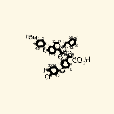 CC(C)(C)c1ccc(Oc2ccc3c(c2)CCN(C(=O)CC2CCCC2)C3C(=O)NC(CC(=O)O)c2ccc(Oc3ccc(F)c(Cl)c3)cc2)cc1